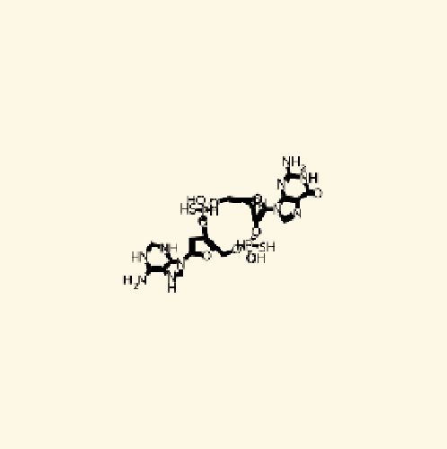 NC1=C2NCN(c3cc4c(o3)CO[PH](O)(S)OC3=C(n5cnc6c(=O)[nH]c(N)nc65)O/C(=C/O[PH](O)(S)O4)[C@H]3F)C2NCN1